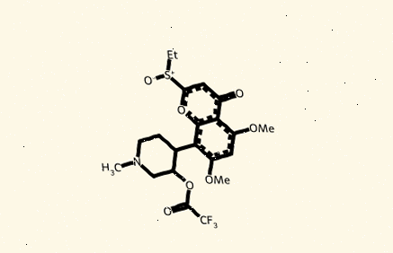 CC[S+]([O-])c1cc(=O)c2c(OC)cc(OC)c(C3CCN(C)CC3OC(=O)C(F)(F)F)c2o1